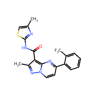 Cc1csc(NC(=O)c2c(C)nn3ccc(-c4ccccc4C(F)(F)F)nc23)n1